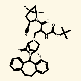 CC(C)(C)OC(=O)NC(CN1C[C@@H]2CC1C(=O)N2C1c2ccccc2CCc2ccccc21)C(=O)N1C(C#N)C[C@@H]2C[C@@H]21